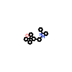 C1=CC2Oc3ccccc3C(C3=CCC(c4cccc(-c5nc(-c6ccccc6)c6ccccc6n5)c4)C=C3)(c3ccccc3)C2C=C1